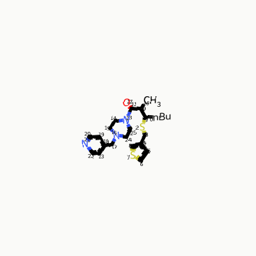 CCCCC(SCc1ccsc1)C(C)C(=O)N1CCN(Cc2ccncc2)CC1